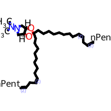 CCCCC/C=C\C/C=C\CCCCCCCCC1(CCCCCCCC/C=C\C/C=C\CCCCC)O[C@H]2CN(N(C)C)C[C@H]2O1